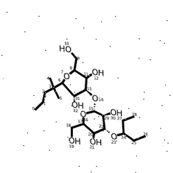 CCCC(C)(C)C1OC(CO)C(O)[C@@H](O[C@H]2OC(CO)C(O)[C@@H](OC(CC)CC)[C@@H]2O)[C@@H]1O